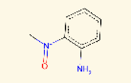 C[N+](=O)c1ccccc1N